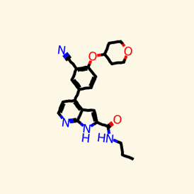 CCCNC(=O)c1cc2c(-c3ccc(OC4CCOCC4)c(C#N)c3)ccnc2[nH]1